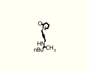 CCCCC(C)NCC#CCN1CCCC1=O